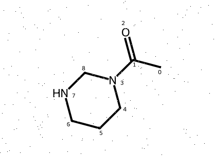 CC(=O)N1CCCNC1